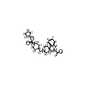 CC(=O)N1Cc2ccccc2C2(CCN(CC3CCN(C(=O)OC4CCCC4)CC3)CC2)C1